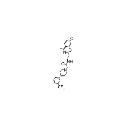 Cc1nc(CCNC(=O)CN2CCN(c3cccc(C(F)(F)F)c3)CC2)oc2cc(=O)ccc1-2